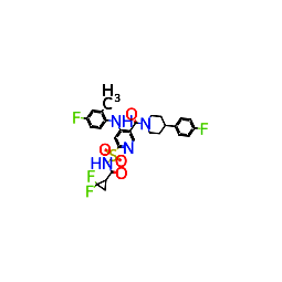 Cc1cc(F)ccc1Nc1cc(S(=O)(=O)NC(=O)C2CC2(F)F)ncc1C(=O)N1CCC(c2ccc(F)cc2)CC1